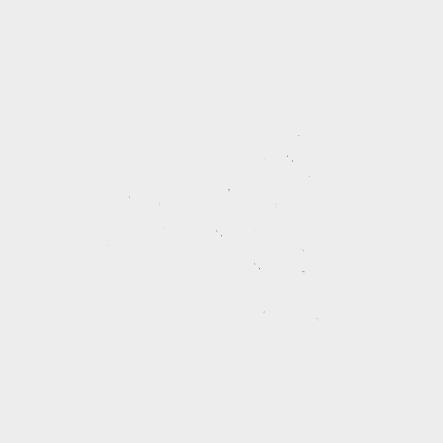 CC(C)N1CCc2c(sc(NC(=O)Cc3ccccc3)c2-c2nc3ccccc3s2)C1